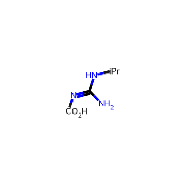 CC(C)N/C(N)=N/C(=O)O